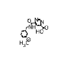 COc1cccc(CNC(=O)c2cc(C(=O)O)ncn2)c1